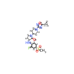 CS(=O)(=O)c1ccc(NC2CCN(C3CCN(c4noc(C5CC5)n4)CC3)C2=O)c(F)c1